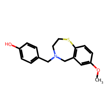 COc1ccc2c(c1)CN(Cc1ccc(O)cc1)CCS2